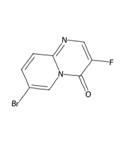 O=c1c(F)cnc2ccc(Br)cn12